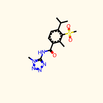 Cc1c(C(=O)Nc2nnnn2C)ccc(C(C)C)c1S(C)(=O)=O